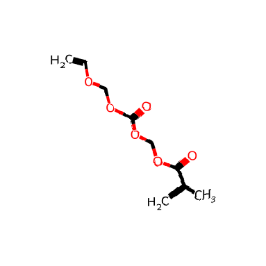 C=COCOC(=O)OCOC(=O)C(=C)C